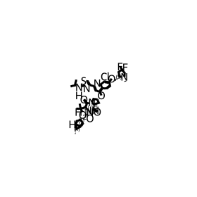 CC(C)Nc1nc(-c2cc(OC3C[C@@H](C(N)=O)N(C(=O)[C@@H](NC(=O)O[C@@H]4C=C5[C@@H](C4)[C@H]5C)C(C)(C)C)C3)c3ccc(OC[C@@H]4CC(F)(F)CN4C)c(Cl)c3n2)cs1